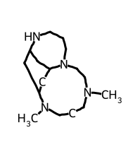 CN1CCCN(C)C2CC3CC(C2)N(CCCN3)CC1